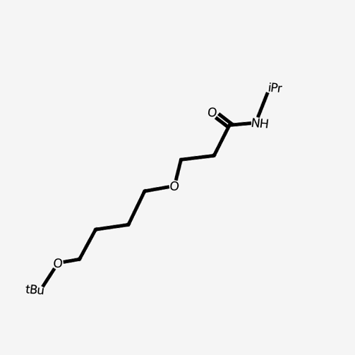 CC(C)NC(=O)CCOCCCCOC(C)(C)C